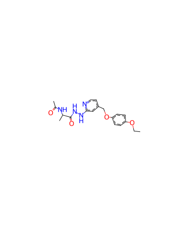 CCOc1ccc(OCc2ccnc(NNC(=O)C(C)NC(C)=O)c2)cc1